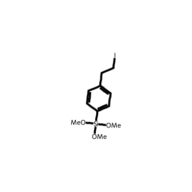 CO[Si](OC)(OC)c1ccc(CCI)cc1